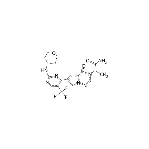 CC(C(N)=O)n1cnn2cc(-c3nc(NC4CCOCC4)ncc3C(F)(F)F)cc2c1=O